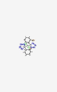 ClC(Cl)(C1(c2ccccc2Br)N=NN=N1)C1(c2ccccc2Br)N=NN=N1